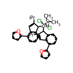 CC(C)C1=Cc2c(-c3ccco3)cccc2[CH]1[Zr]([Cl])([Cl])([CH]1C(C(C)C)=Cc2c(-c3ccco3)cccc21)[SiH](C)C